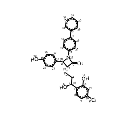 O=C1[C@H](SC[C@H](O)c2ccc(Cl)cc2O)[C@@H](c2ccc(O)cc2)N1c1ccc(-c2cccnc2)cc1